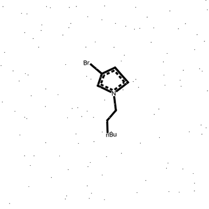 CCCCCCn1ccc(Br)c1